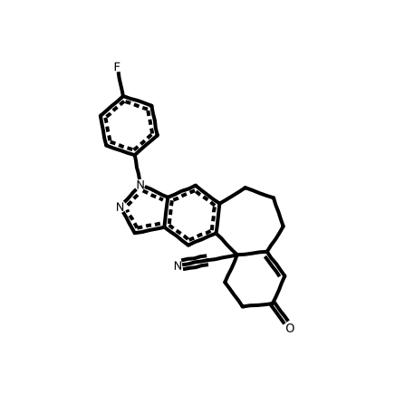 N#CC12CCC(=O)C=C1CCCc1cc3c(cnn3-c3ccc(F)cc3)cc12